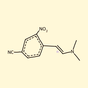 CN(C)/C=C/c1ccc(C#N)cc1[N+](=O)[O-]